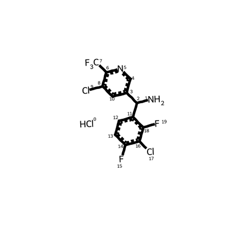 Cl.NC(c1cnc(C(F)(F)F)c(Cl)c1)c1ccc(F)c(Cl)c1F